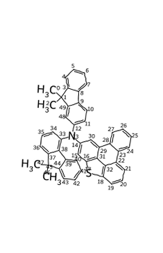 CC1(C)c2ccccc2-c2ccc(N(c3cc4sc5cccc6c7ccccc7c(c3)c4c56)c3cccc4c3-c3ccccc3C4(C)C)cc21